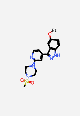 CCOc1ccc2[nH]nc(-c3ccnc(N4CCN(S(C)(=O)=O)CC4)c3)c2c1